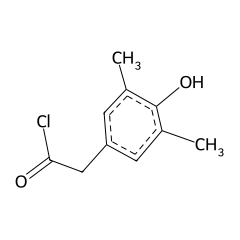 Cc1cc(CC(=O)Cl)cc(C)c1O